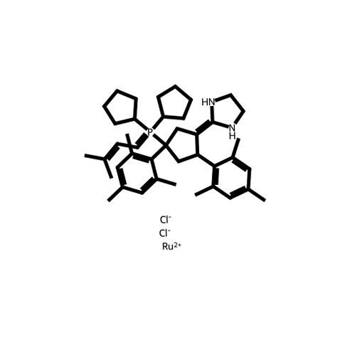 CC(C)=CC=P(C1CCCC1)(C1CCCC1)C1(c2c(C)cc(C)cc2C)CC(=C2NCCN2)C(c2c(C)cc(C)cc2C)C1.[Cl-].[Cl-].[Ru+2]